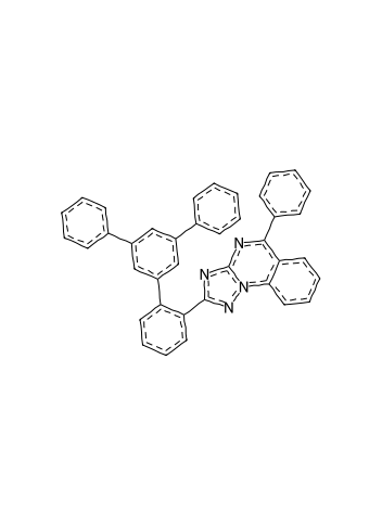 c1ccc(-c2cc(-c3ccccc3)cc(-c3ccccc3-c3nc4nc(-c5ccccc5)c5ccccc5n4n3)c2)cc1